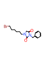 O=C1CN(CCCCCCBr)C(=O)N1Cc1ccccc1